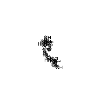 C=CCn1c(=O)c2cnc(Nc3ccc(N4CCN(CCCCCC(=O)NC(C(=O)N5CC(O)C[C@H]5C(=O)N[C@@H](C)c5ccc(-c6scnc6C)cc5)C(C)(C)C)CC4)cc3)nc2n1-c1cccc(C(C)(C)O)n1